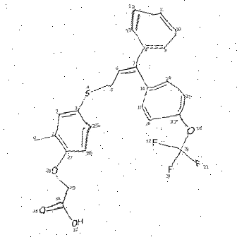 Cc1cc(SC/C=C(/c2ccccc2)c2ccc(OC(F)(F)F)cc2)ccc1OCC(=O)O